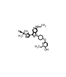 CCNc1cc2c(cn1)c(-c1cnn(C(C)(C)C#N)c1)nn2C1CCC(OC2=NN(CC)C(O)C=C2)CC1